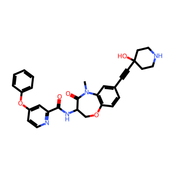 CN1C(=O)C(NC(=O)c2cc(Oc3ccccc3)ccn2)COc2ccc(C#CC3(O)CCNCC3)cc21